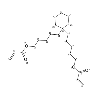 C=CC(=O)OCCCCCC1(CCCCCOC(=O)C=C)CCCCC1